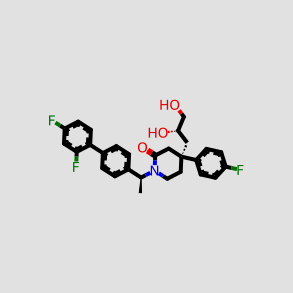 C[C@@H](c1ccc(-c2ccc(F)cc2F)cc1)N1CC[C@](C[C@H](O)CO)(c2ccc(F)cc2)CC1=O